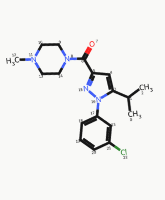 CC(C)c1cc(C(=O)N2CCN(C)CC2)nn1-c1cccc(Cl)c1